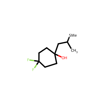 CSC(C)CC1(O)CCC(F)(F)CC1